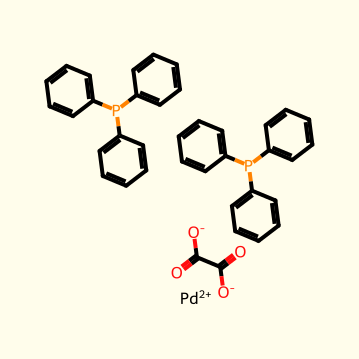 O=C([O-])C(=O)[O-].[Pd+2].c1ccc(P(c2ccccc2)c2ccccc2)cc1.c1ccc(P(c2ccccc2)c2ccccc2)cc1